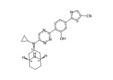 N#Cc1cnc(-c2ccc(-c3ncc(N(C4CC4)[C@@H]4C[C@H]5CCC[C@@H](C4)N5)nn3)c(O)c2)s1